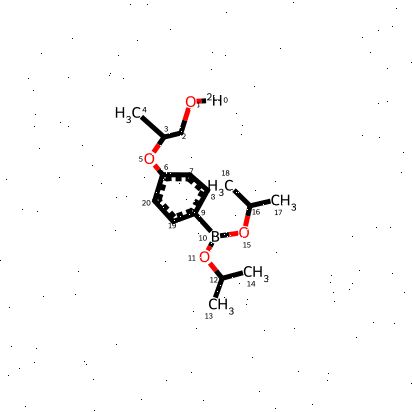 [2H]OCC(C)Oc1ccc(B(OC(C)C)OC(C)C)cc1